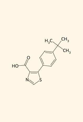 CC(C)(C)c1ccc(-c2scnc2C(=O)O)cc1